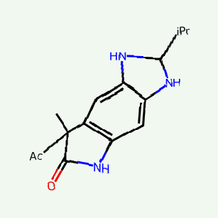 CC(=O)C1(C)C(=O)Nc2cc3c(cc21)NC(C(C)C)N3